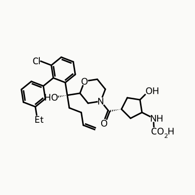 C=CCC[C@@](O)(c1cccc(Cl)c1-c1cccc(CC)c1)C1CN(C(=O)[C@@H]2CC(O)C(NC(=O)O)C2)CCO1